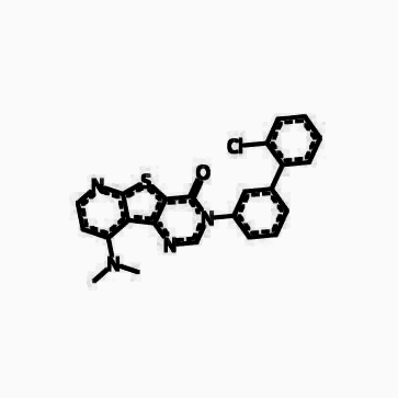 CN(C)c1ccnc2sc3c(=O)n(-c4cccc(-c5ccccc5Cl)c4)cnc3c12